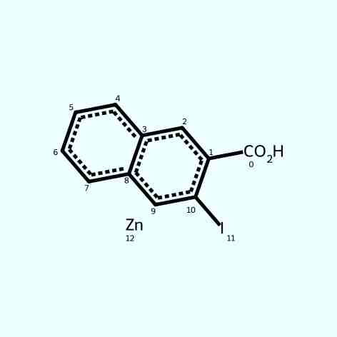 O=C(O)c1cc2ccccc2cc1I.[Zn]